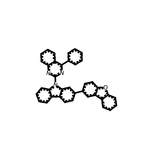 c1ccc(-c2nc(-n3c4ccccc4c4ccc(-c5ccc6oc7ccccc7c6c5)cc43)nc3ccccc23)cc1